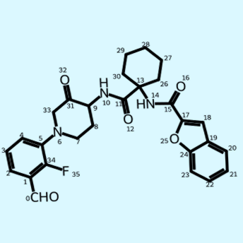 O=Cc1cccc(N2CCC(NC(=O)C3(NC(=O)c4cc5ccccc5o4)CCCCC3)C(=O)C2)c1F